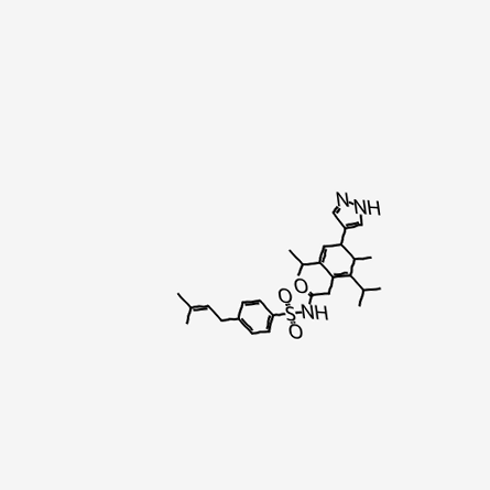 CC(C)=CCc1ccc(S(=O)(=O)NC(=O)CC2=C(C(C)C)C(C)C(c3cn[nH]c3)C=C2C(C)C)cc1